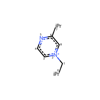 CC(C)C[n+]1ccnc(C(C)C)c1